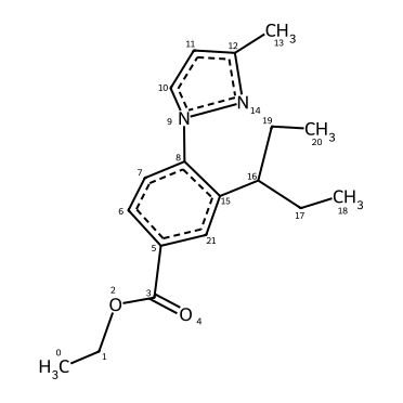 CCOC(=O)c1ccc(-n2ccc(C)n2)c(C(CC)CC)c1